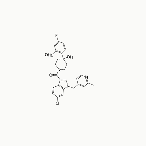 Cc1cc(Cn2cc(C(=O)N3CCC(O)(c4ccc(F)cc4C=O)CC3)c3ccc(Cl)cc32)ccn1